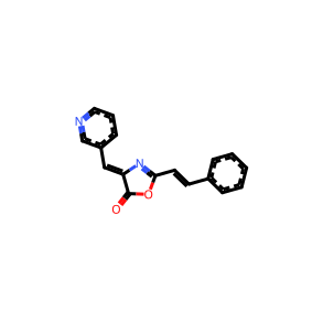 O=C1OC(C=Cc2ccccc2)=NC1=Cc1cccnc1